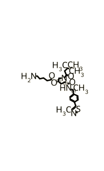 Cc1ncsc1-c1ccc([C@H](C)NC(=O)[C@@H]2C[C@@H](OC(=O)CCCCN)CN2C(=O)CC(C)(C)C)cc1